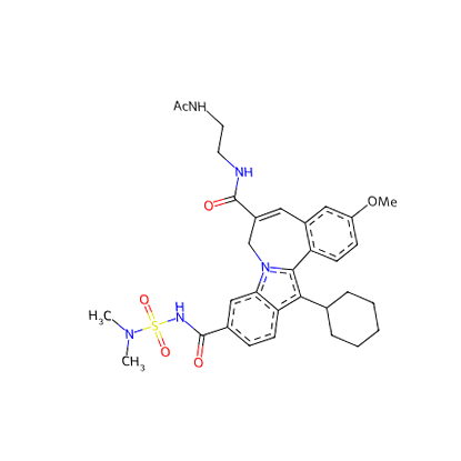 COc1ccc2c(c1)C=C(C(=O)NCCNC(C)=O)Cn1c-2c(C2CCCCC2)c2ccc(C(=O)NS(=O)(=O)N(C)C)cc21